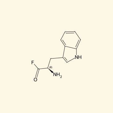 N[C@H](Cc1c[nH]c2ccccc12)C(=O)F